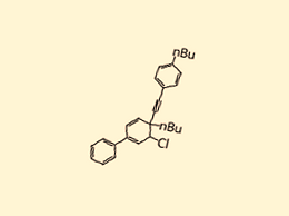 CCCCc1ccc(C#CC2(CCCC)C=CC(c3ccccc3)=CC2Cl)cc1